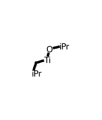 CC(C)[CH2][Ti][O]C(C)C